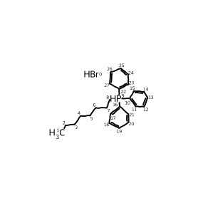 Br.CCCCCCCC[PH](c1ccccc1)(c1ccccc1)c1ccccc1